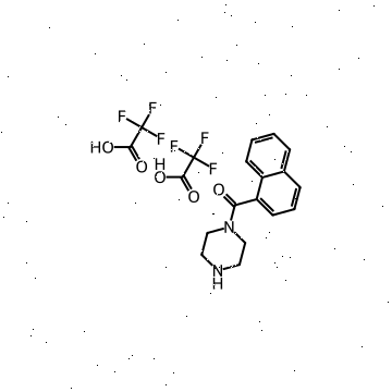 O=C(O)C(F)(F)F.O=C(O)C(F)(F)F.O=C(c1cccc2ccccc12)N1CCNCC1